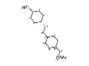 CCCC[C@H]1CC[C@H](CCC2CCC(COC)CC2)CC1